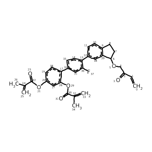 C=CC(=O)COC1CCc2ccc(-c3ccc(-c4ccc(OC(=O)C(=C)C)cc4OC(=O)C(=C)C)cc3F)cc21